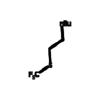 [CH2]CCCCCSC(F)(F)F